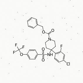 O=C(OCc1ccccc1)N1CCC(NS(=O)(=O)c2ccc(OC(F)(F)F)cc2)(c2ccc(Cl)cc2F)CC1